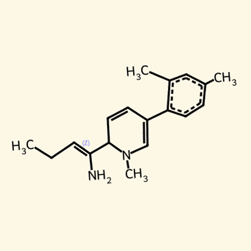 CC/C=C(\N)C1C=CC(c2ccc(C)cc2C)=CN1C